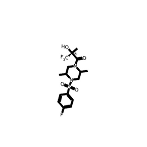 CC1CN(S(=O)(=O)c2ccc(F)cc2)C(C)CN1C(=O)[C@@](C)(O)C(F)(F)F